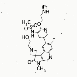 CC(C)NCCOc1ncc(-c2cc3c4c(cnc3cc2F)N(C)C(=O)C42CN(CCO)C2)cc1NS(C)(=O)=O